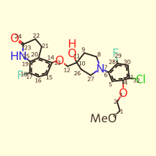 COCCOc1cc(N2CCC(O)(COc3ccc(F)c4c3CCC(=O)N4)CC2)c(F)cc1Cl